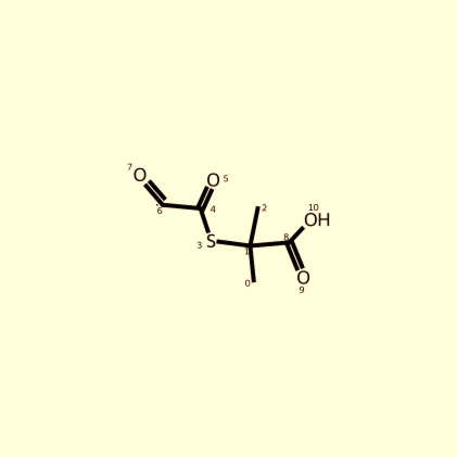 CC(C)(SC(=O)[C]=O)C(=O)O